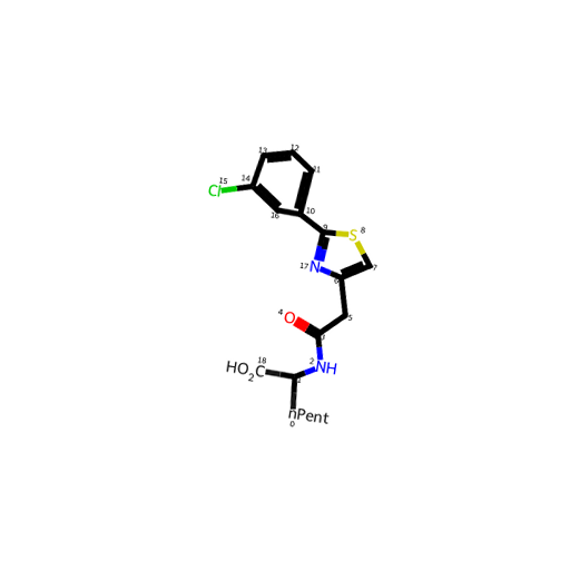 CCCCCC(NC(=O)Cc1csc(-c2cccc(Cl)c2)n1)C(=O)O